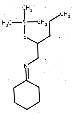 CCCC(CN=C1CCCCC1)S[Si](C)(C)C